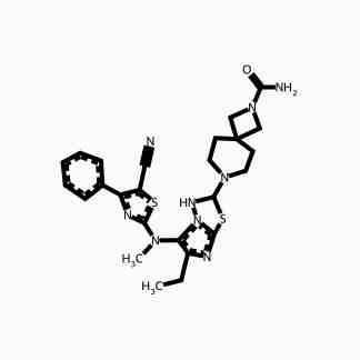 CCc1nc2n(c1N(C)c1nc(-c3ccccc3)c(C#N)s1)NC(N1CCC3(CC1)CN(C(N)=O)C3)S2